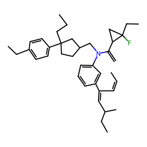 C=C(C1CC1(F)CC)N(CC1CCC(CCC)(c2ccc(CC)cc2)C1)c1cccc(C(/C=C\C)=C/C(C)CC)c1